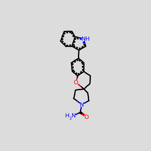 NC(=O)N1CCC2(CCc3cc(-c4c[nH]c5ccccc45)ccc3O2)CC1